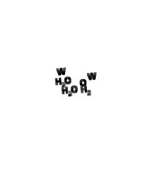 O.O.O.[W].[W]